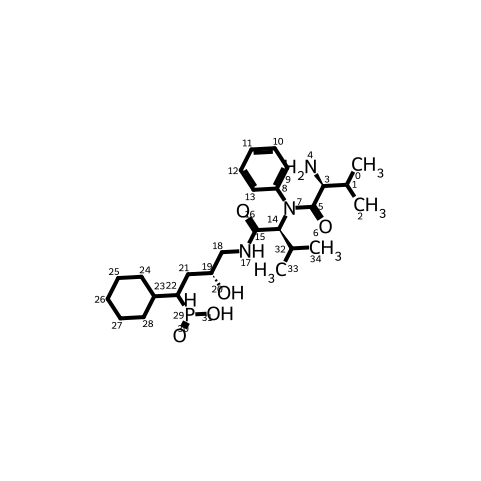 CC(C)[C@H](N)C(=O)N(c1ccccc1)[C@H](C(=O)NC[C@H](O)CC(C1CCCCC1)[PH](=O)O)C(C)C